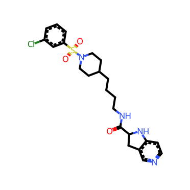 O=C(NCCCCC1CCN(S(=O)(=O)c2cccc(Cl)c2)CC1)C1Cc2cnccc2N1